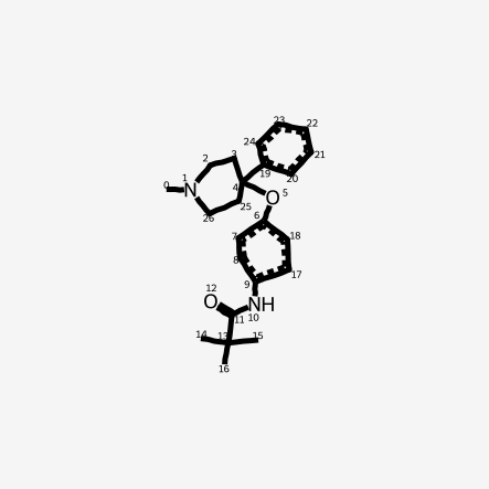 CN1CCC(Oc2ccc(NC(=O)C(C)(C)C)cc2)(c2ccccc2)CC1